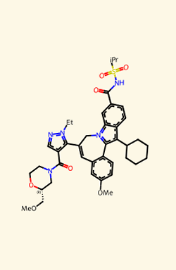 CCn1ncc(C(=O)N2CCO[C@@H](COC)C2)c1C1=Cc2cc(OC)ccc2-c2c(C3CCCCC3)c3ccc(C(=O)NS(=O)(=O)C(C)C)cc3n2C1